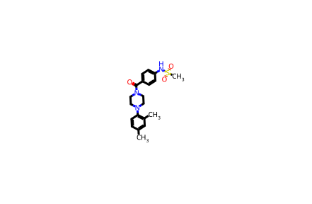 Cc1ccc(N2CCN(C(=O)c3ccc(NS(C)(=O)=O)cc3)CC2)c(C)c1